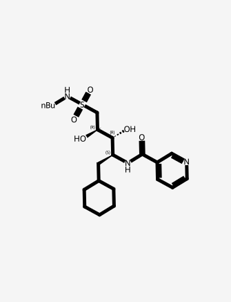 CCCCNS(=O)(=O)C[C@H](O)[C@H](O)[C@H](CC1CCCCC1)NC(=O)c1cccnc1